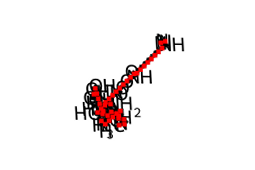 CN1CCC[C@H]1C(=O)N1CCC[C@H]1C(=O)N[C@@H](Cc1cnc[nH]1)C(=O)N[C@@H](CC(=O)O)C(=O)N[C@@H](CCCCN(CC(=O)O)CC(=O)O)C(=O)N[C@@H](CCCCNC(=O)COCCOCCNC(=O)CCCCCCCCCCCCCCCc1nnn[nH]1)C(N)=O